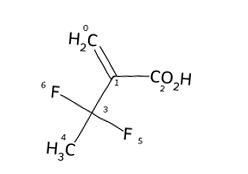 C=C(C(=O)O)C(C)(F)F